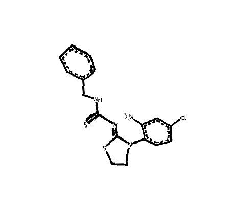 O=[N+]([O-])c1cc(Cl)ccc1N1CCSC1=NC(=S)NCc1ccccc1